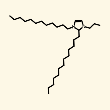 CCCCCCCCCCCCCC1N(CCC)C=CN1CCCCCCCCCCCC